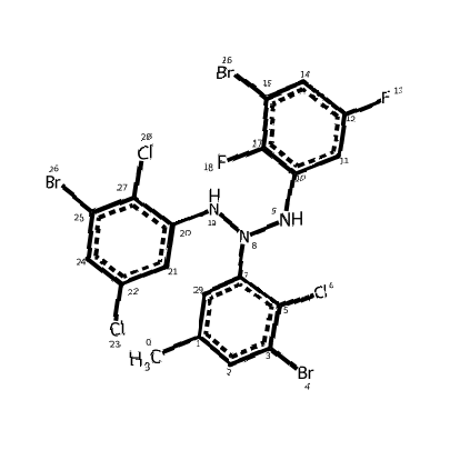 Cc1cc(Br)c(Cl)c(N(Nc2cc(F)cc(Br)c2F)Nc2cc(Cl)cc(Br)c2Cl)c1